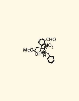 COC(=O)CC(O)(C(=O)NCc1ccccc1)c1cccc(C=O)c1[N+](=O)[O-]